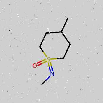 CN=S1(=O)CCC(C)CC1